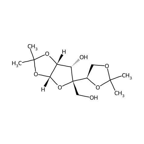 CC1(C)O[C@H]2O[C@@](CO)([C@H]3COC(C)(C)O3)[C@@H](O)[C@H]2O1